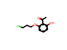 CC(=O)c1c(O)cccc1OCCCCl